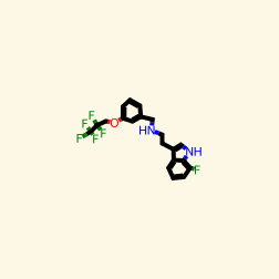 Fc1cccc2c(CCNCc3cccc(OCC(F)(F)C(F)(F)F)c3)c[nH]c12